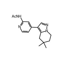 CC(=O)Nc1cc(-c2cnn3c2CC(C)(C)CC3)ccn1